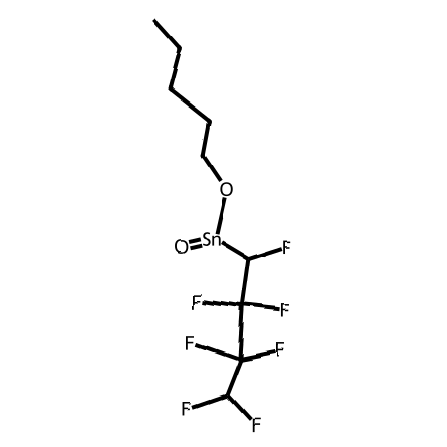 CCCCC[O][Sn](=[O])[CH](F)C(F)(F)C(F)(F)C(F)F